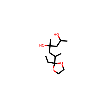 CCC1(C(C)CC(C)(O)CC(C)O)OCCO1